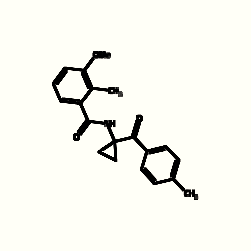 COc1cccc(C(=O)NC2(C(=O)c3ccc(C)cc3)CC2)c1C